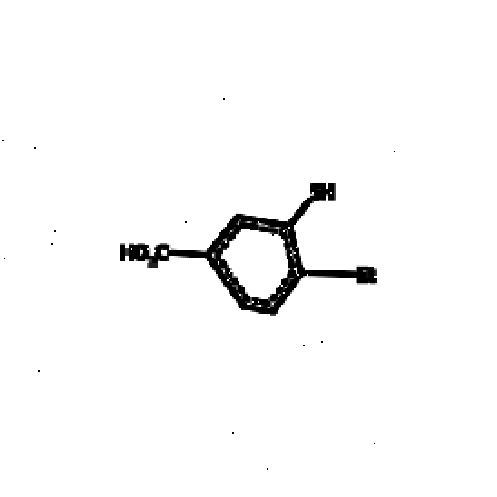 CCc1ccc(C(=O)O)cc1S